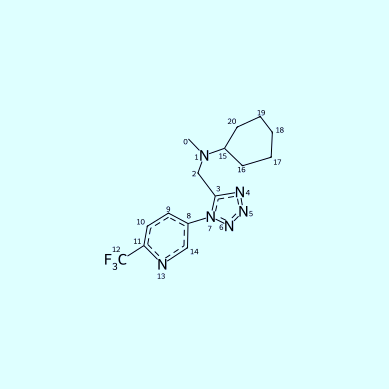 CN(Cc1nnnn1-c1ccc(C(F)(F)F)nc1)C1CCCCC1